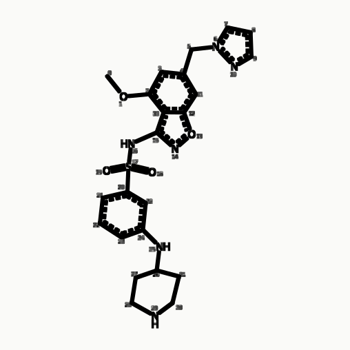 COc1cc(Cn2cccn2)cc2onc(NS(=O)(=O)c3cccc(NC4CCNCC4)c3)c12